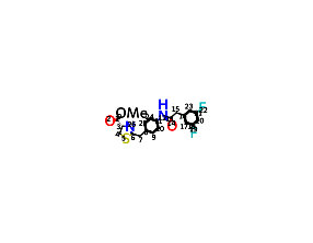 COC(=O)[C@H]1CSC(Cc2ccc(NC(=O)Cc3cc(F)cc(F)c3)cc2)=N1